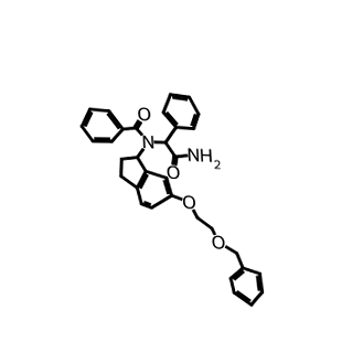 NC(=O)C(c1ccccc1)N(C(=O)c1ccccc1)C1CCc2ccc(OCCOCc3ccccc3)cc21